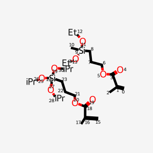 C=C(C)C(=O)OCCC[Si](C)(OCC)OCC.C=C(C)C(=O)OCCC[Si](OC(C)C)(OC(C)C)OC(C)C